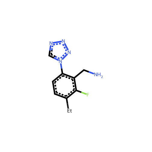 CCc1ccc(-n2cnnn2)c(CN)c1F